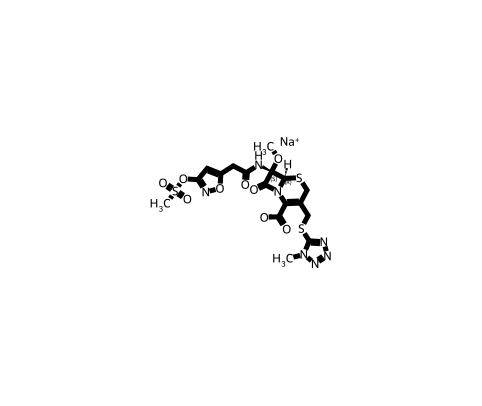 CO[C@@]1(NC(=O)Cc2cc(OS(C)(=O)=O)no2)C(=O)N2C(C(=O)[O-])=C(CSc3nnnn3C)CS[C@@H]21.[Na+]